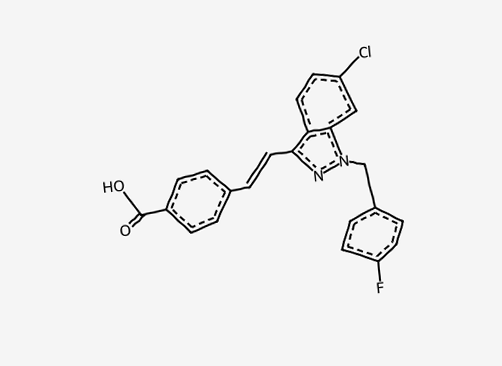 O=C(O)c1ccc(/C=C/c2nn(Cc3ccc(F)cc3)c3cc(Cl)ccc23)cc1